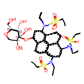 CCN(c1cc(O[C@]2(O)[C@@H](O)CO[C@H](CO)[C@@H]2O)c2ccc3c(N(CC)S(=O)(=O)CC)cc(N(CC)S(=O)(=O)CC)c4ccc1c2c34)S(=O)(=O)CC